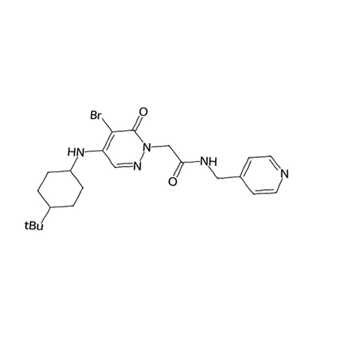 CC(C)(C)C1CCC(Nc2cnn(CC(=O)NCc3ccncc3)c(=O)c2Br)CC1